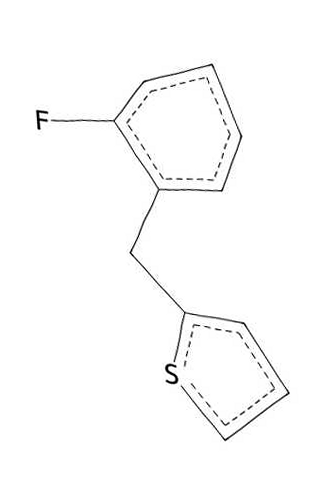 Fc1ccccc1Cc1cccs1